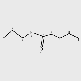 CC[CH]NC(=O)CCCC